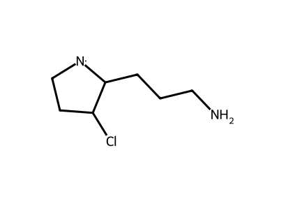 NCCCC1[N]CCC1Cl